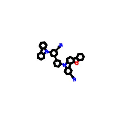 N#Cc1cc(-c2cccc(-n3c4ccc(C#N)cc4c4c5oc6ccccc6c5ccc43)c2)cc(-n2c3ccccc3c3ccccc32)c1